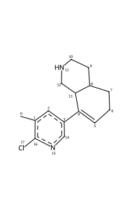 Cc1cc(C2=CCCC3CCNCC23)cnc1Cl